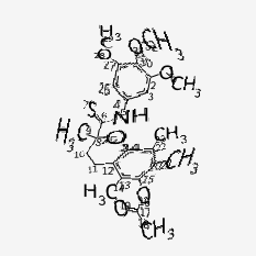 COc1cc(NC(=S)C2(C)CCc3c(C)c(OC(C)=O)c(C)c(C)c3O2)cc(OC)c1OC